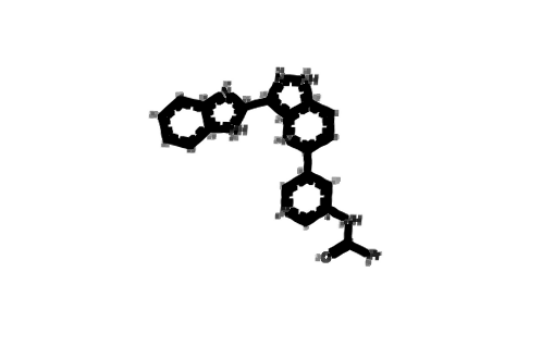 CC(C)C(=O)Nc1cncc(-c2ccc3[nH]nc(-c4nc5ccccc5[nH]4)c3n2)c1